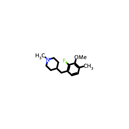 COc1c(C)ccc(CC2CCN(C)CC2)c1F